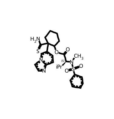 CC(C)[C@@H](C(=O)OC1CCCCC1(C(N)=S)c1ccc2nccn2c1)N(C)S(=O)(=O)c1ccccc1